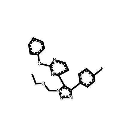 CCOCn1nnc(-c2ccc(F)cc2)c1-c1ccnc(Oc2ccccc2)n1